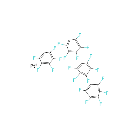 Fc1cc(F)c(F)c(F)c1F.Fc1cc(F)c(F)c(F)c1F.Fc1cc(F)c(F)c(F)c1F.Fc1cc(F)c(F)c(F)c1F.[Pt+2]